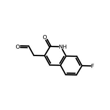 O=CCc1cc2ccc(F)cc2[nH]c1=O